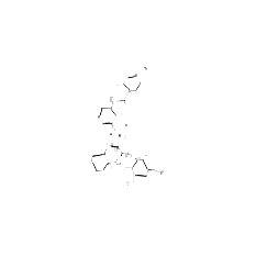 COc1ccc(C(=O)Nc2cccc(S(=O)(=O)Nc3nc4ccccc4nc3Nc3cc(OC)cc(OC)c3)c2)cc1